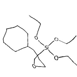 CCO[Si](OCC)(OCC)C1(C2CCCCC2)CO1